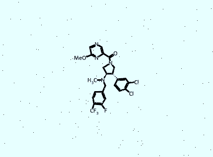 COc1cncc(C(=O)N2C[C@H](c3ccc(Cl)c(Cl)c3)[C@@H](N(C)Cc3ccc(C(F)(F)F)c(F)c3)C2)n1